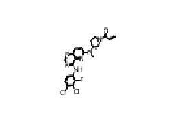 C=CC(=O)N1CC[C@H](N(C)c2ccc3ncnc(Nc4ccc(Cl)c(Cl)c4F)c3n2)C1